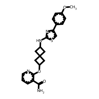 COc1ccc(-c2csc(NC3CC4(C3)CC(Oc3ncccc3C(N)=O)C4)n2)cc1